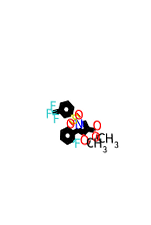 COC(=O)c1cn(S(=O)(=O)c2cccc(C(F)(F)F)c2)c(-c2ccccc2F)c1OC